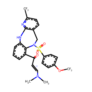 CN(C)/C=C/C(=O)c1cccc2c1N(S(=O)(=O)c1ccc(OC(F)(F)F)cc1)Cc1ccc(C(F)(F)F)nc1N2